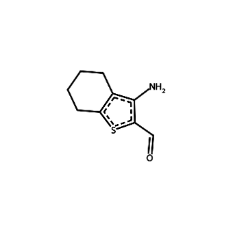 Nc1c(C=O)sc2c1CCCC2